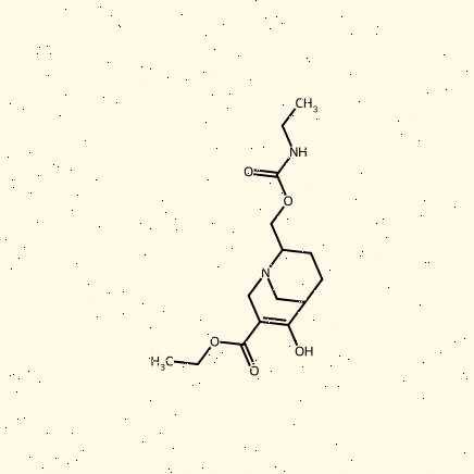 CCNC(=O)OCC1CCC2CN1CC(C(=O)OCC)=C2O